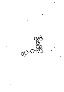 O=C([C@H]1CCCO1)N1CC[C@@H](CN2C(=O)C3(CCCC3)N=C2c2ccc(-c3ccc4occc4c3)cc2)C1